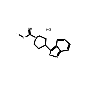 CCOC(=N)N1CCC(c2snc3ccccc23)CC1.Cl